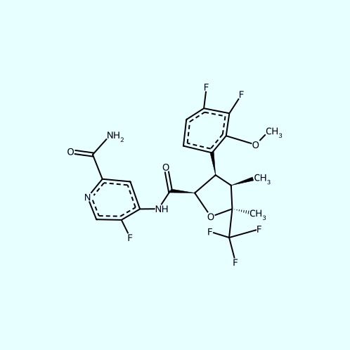 COc1c([C@H]2[C@@H](C)[C@@](C)(C(F)(F)F)O[C@H]2C(=O)Nc2cc(C(N)=O)ncc2F)ccc(F)c1F